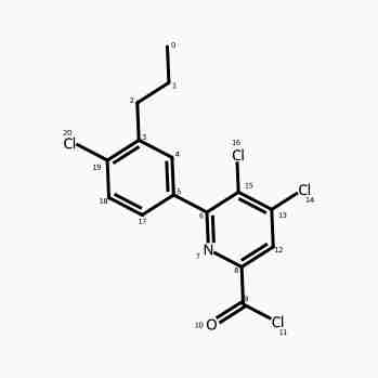 CCCc1cc(-c2nc(C(=O)Cl)cc(Cl)c2Cl)ccc1Cl